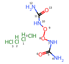 Cl.Cl.Cl.Cl.NC(=O)NOONC(N)=O